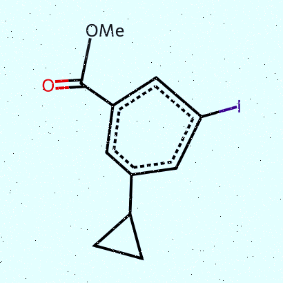 COC(=O)c1cc(I)cc(C2CC2)c1